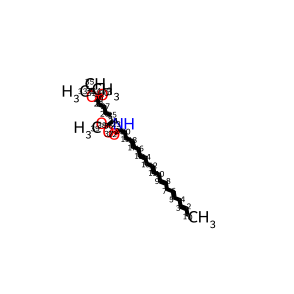 CCC=CCC=CCC=CCC=CCC=CCC=CCCC(=O)N[C@@H](CCCCC(=O)OC(C)(C)C)C(=O)OC